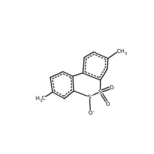 Cc1ccc2c(c1)[S+]([O-])S(=O)(=O)c1cc(C)ccc1-2